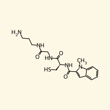 Cn1c(C(=O)N[C@@H](CS)C(=O)NCC(=O)NCCCN)cc2ccccc21